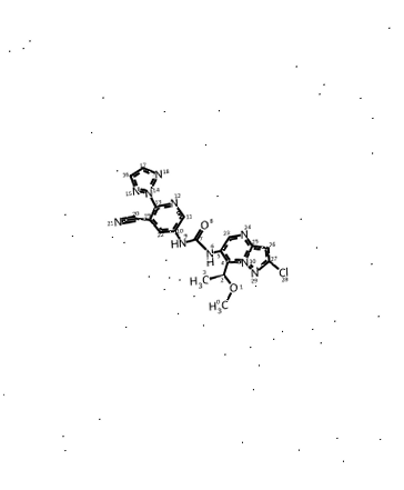 CO[C@@H](C)c1c(NC(=O)Nc2cnc(-n3nccn3)c(C#N)c2)cnc2cc(Cl)nn12